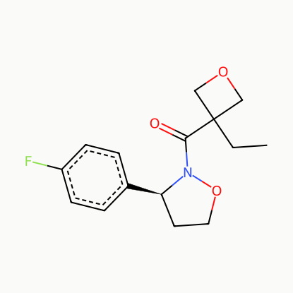 CCC1(C(=O)N2OCC[C@H]2c2ccc(F)cc2)COC1